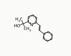 CC(C)(O)c1cccc(/C=C/c2ccccc2)n1